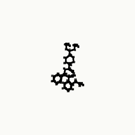 CCC(CC)N1CCN(C(=O)CN(C(=O)c2ccccc2OC)c2ccccc2)CC1